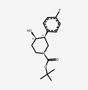 CC(C)(C)OC(=O)N1CC[C@@H](O)[C@@H](c2ccc(F)cc2)C1